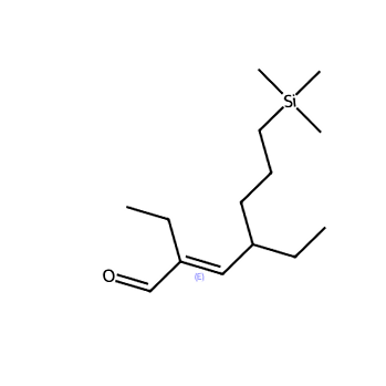 CC/C(C=O)=C\C(CC)CCC[Si](C)(C)C